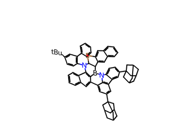 CC(C)(C)c1ccc(N2c3c4c(cc5ccccc35)-c3cc(C56CC7CC(CC(C7)C5)C6)cc5c6cc(C78CC9CC(CC(C9)C7)C8)ccc6n(c35)B4C3c4cc5ccccc5cc4SC32)c(-c2ccccc2)c1